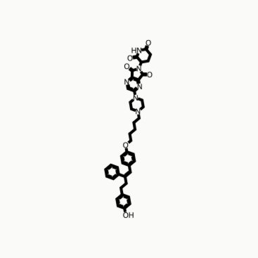 O=C1CCC(N2C(=O)c3ncc(N4CCN(CCCCCOc5ccc(/C=C(/CCc6ccc(O)cc6)c6ccccc6)cc5)CC4)nc3C2=O)C(=O)N1